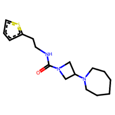 O=C(NCCc1cccs1)N1CC(N2CCCCCC2)C1